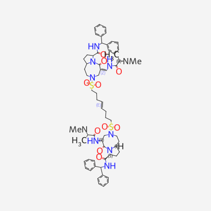 CNC(C)C(=O)N[C@H]1CN(S(=O)(=O)CCC/C=C/CCCS(=O)(=O)N2CCC3CCC(C(=O)NC(c4ccccc4)c4ccccc4)N3C(=O)/C(=C\NC(=O)[C@@H](C)NC)C2)CC[C@H]2CC[C@@H](C(=O)NC(c3ccccc3)c3ccccc3)N2C1=O